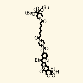 CCc1c2c(nc3ccc(OC(=O)N4CCN(C(=O)CCCCCCC(=O)N5CCC(C(=O)OC(C)(C)C)(C(=O)OC(C)(C)C)CC5)CC4)cc13)-c1cc3c(c(=O)n1C2)COC(=O)[C@]3(O)CC